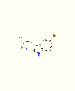 CC(=O)[C@@H](N)Cc1c[nH]c2ccc(Br)cc12